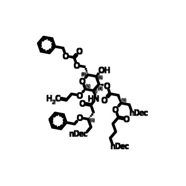 C=CCO[C@H]1O[C@H](COC(=O)OCc2ccccc2)[C@@H](O)[C@H](OC(=O)C[C@@H](CCCCCCCCCCC)OC(=O)CCCCCCCCCCCCC)[C@H]1NC(=O)C[C@H](CCCCCCCCCCC)OCc1ccccc1